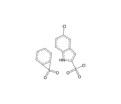 O=S(=O)(Cl)c1cc2cc(Cl)ccc2[nH]1.O=S1(=O)c2ccccc21